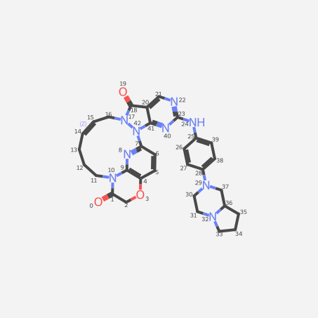 O=C1COc2ccc3nc2N1CCC/C=C\Cn1c(=O)c2cnc(Nc4ccc(N5CCN6CCCC6C5)cc4)nc2n1-3